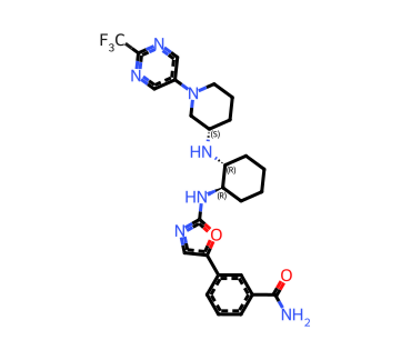 NC(=O)c1cccc(-c2cnc(N[C@@H]3CCCC[C@H]3N[C@H]3CCCN(c4cnc(C(F)(F)F)nc4)C3)o2)c1